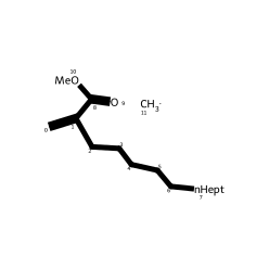 C=C(CCCCCCCCCCCC)C(=O)OC.[CH3]